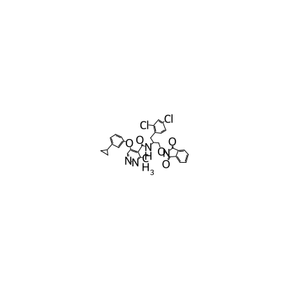 Cc1nncc(Oc2cccc(C3CC3)c2)c1C(=O)NC(CON1C(=O)c2ccccc2C1=O)Cc1ccc(Cl)cc1Cl